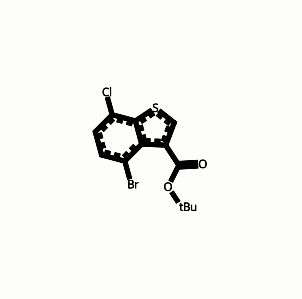 CC(C)(C)OC(=O)c1csc2c(Cl)ccc(Br)c12